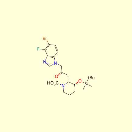 CC(C)(C)[Si](C)(C)O[C@H]1CCCN(C(=O)O)[C@@H]1CC(=O)Cn1cnc2c(F)c(Br)ccc21